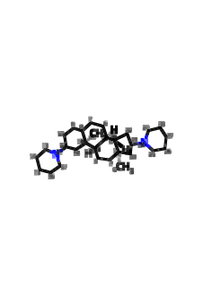 C[C@]12CC[C@@H]3[C@@H](CCC4CCC(N5CCCCC5)C[C@@]43C)[C@@H]1CC(N1CCCCC1)C2